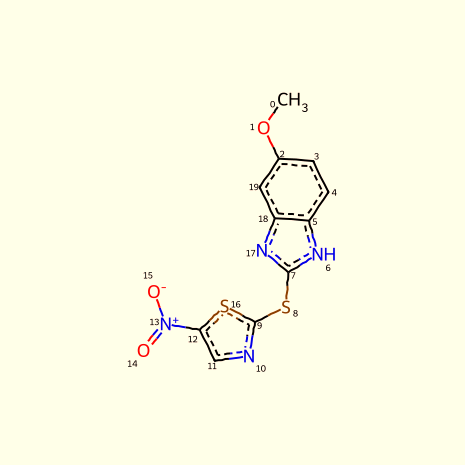 COc1ccc2[nH]c(Sc3ncc([N+](=O)[O-])s3)nc2c1